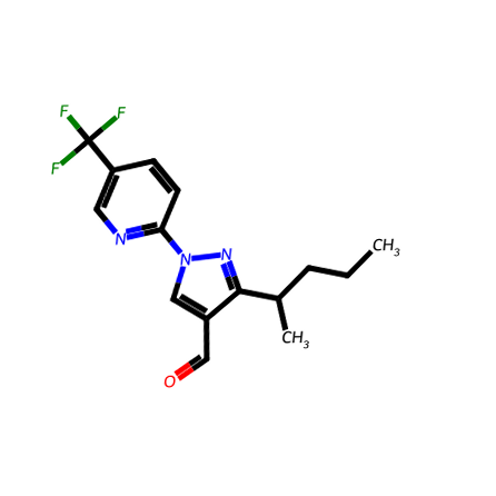 CCCC(C)c1nn(-c2ccc(C(F)(F)F)cn2)cc1C=O